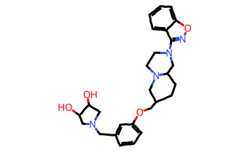 OC1CN(Cc2cccc(OCC3CCC4CN(c5noc6ccccc56)CCN4C3)c2)CC1O